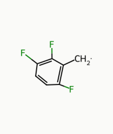 [CH2]c1c(F)ccc(F)c1F